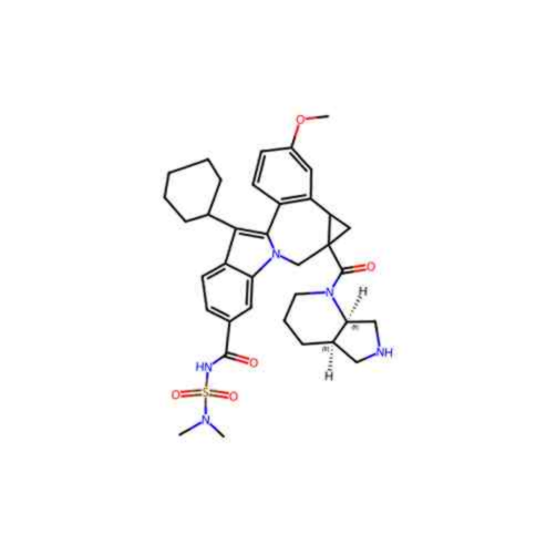 COc1ccc2c(c1)C1CC1(C(=O)N1CCC[C@@H]3CNC[C@@H]31)Cn1c-2c(C2CCCCC2)c2ccc(C(=O)NS(=O)(=O)N(C)C)cc21